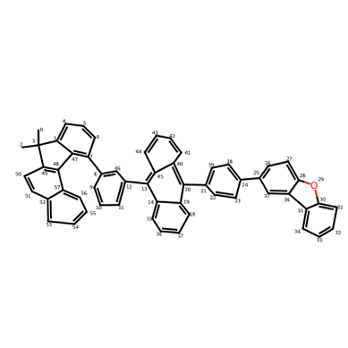 CC1(C)c2cccc(-c3cccc(-c4c5ccccc5c(-c5ccc(-c6ccc7oc8ccccc8c7c6)cc5)c5ccccc45)c3)c2-c2c1ccc1ccccc21